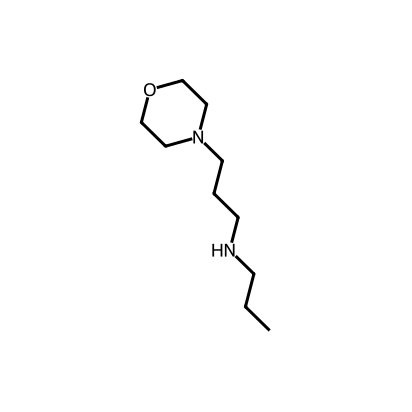 CCCNCCCN1CCOCC1